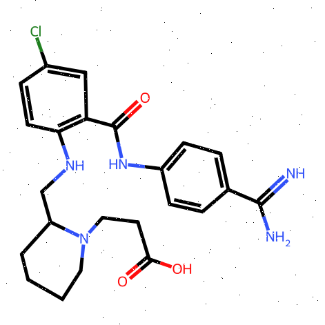 N=C(N)c1ccc(NC(=O)c2cc(Cl)ccc2NCC2CCCCN2CCC(=O)O)cc1